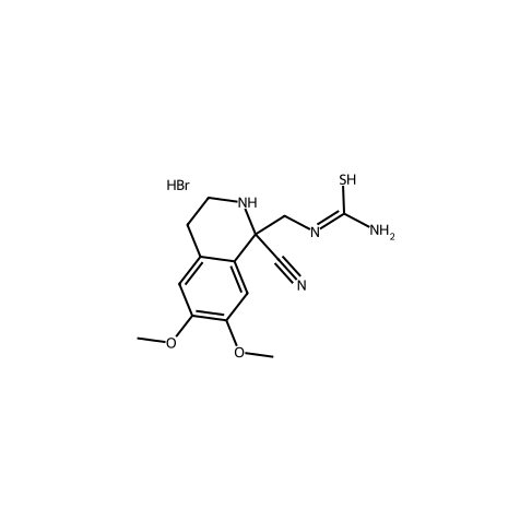 Br.COc1cc2c(cc1OC)C(C#N)(CN=C(N)S)NCC2